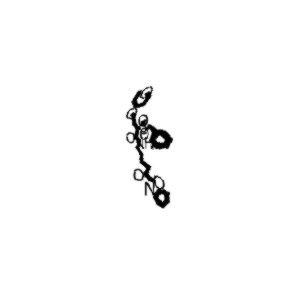 O=C(CCCCNC(=O)C(CCOC1CCOCC1)S(=O)(=O)Cc1ccccc1)c1nc2ccccc2o1